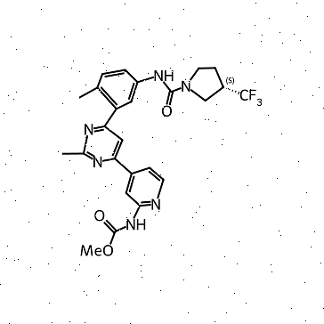 COC(=O)Nc1cc(-c2cc(-c3cc(NC(=O)N4CC[C@H](C(F)(F)F)C4)ccc3C)nc(C)n2)ccn1